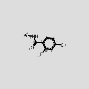 CC(C)NC(=O)c1ccc(Cl)cc1F